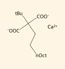 CCCCCCCCCCC(C(=O)[O-])(C(=O)[O-])C(C)(C)C.[Ca+2]